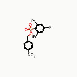 CC(C)c1cc(C(C)C)c(S(=O)(=O)OCc2ccc([N+](=O)[O-])cc2)c(C(C)C)c1